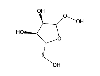 OC[C@H]1OC(OO)[C@H](O)[C@@H]1O